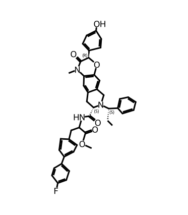 CC[C@@H](c1ccccc1)N1Cc2cc3c(cc2C[C@H]1C(=O)NC(Cc1ccc(-c2ccc(F)cc2)cc1)C(=O)OC)N(C)C(=O)[C@@H](c1ccc(O)cc1)O3